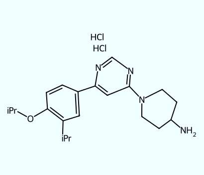 CC(C)Oc1ccc(-c2cc(N3CCC(N)CC3)ncn2)cc1C(C)C.Cl.Cl